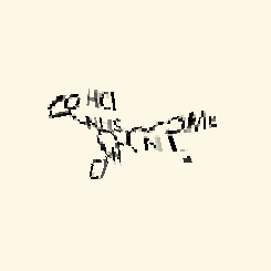 COC[C@H](N)Cc1sc2c(NCc3ccco3)cc(Cl)nc2c1C.Cl